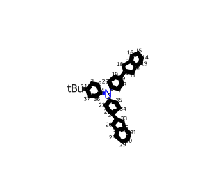 CC(C)(C)c1ccc(N(c2ccc(C3=Cc4ccccc4C3)cc2)c2ccc(C3=Cc4ccccc4C3)cc2)cc1